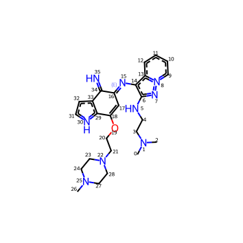 CN(C)CCNc1nn2ccccc2c1/N=C1\C=C(OCCN2CCN(C)CC2)c2[nH]ccc2C1=N